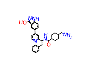 NCC1CCC(C(=O)NC(Cc2ccccc2)c2cc(-c3ccc4[nH]nc(O)c4c3)ccn2)CC1